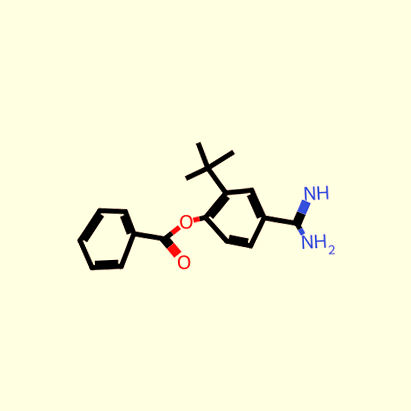 CC(C)(C)c1cc(C(=N)N)ccc1OC(=O)c1ccccc1